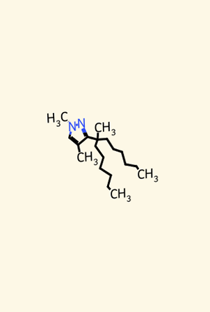 CCCCCCC(C)(CCCCCC)c1nn(C)cc1C